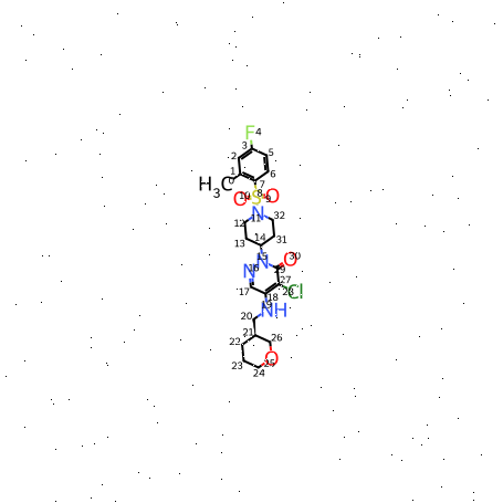 Cc1cc(F)ccc1S(=O)(=O)N1CCC(n2ncc(NC[C@@H]3CCCOC3)c(Cl)c2=O)CC1